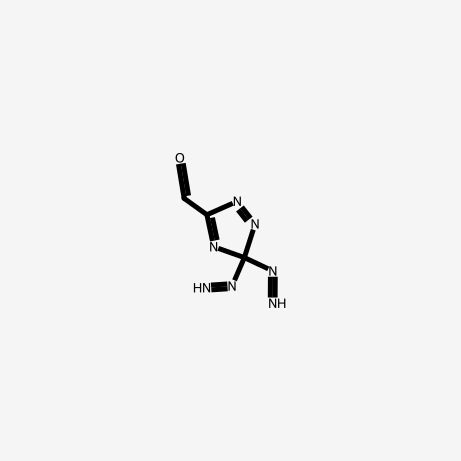 N=NC1(N=N)N=NC(C=O)=N1